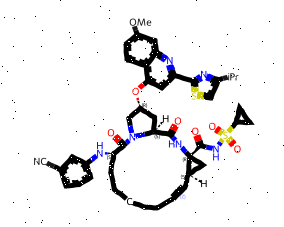 COc1ccc2c(O[C@@H]3C[C@H]4C(=O)N[C@]5(C(=O)NS(=O)(=O)C6CC6)C[C@H]5/C=C\CCCCC[C@H](Nc5cccc(C#N)c5)C(=O)N4C3)cc(-c3nc(C(C)C)cs3)nc2c1